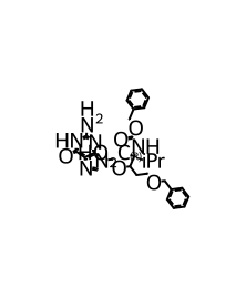 CC(C)[C@](NC(=O)OCc1ccccc1)(C(=O)O)C(CCOCc1ccccc1)OCn1cnc2c(=O)[nH]c(N)nc21